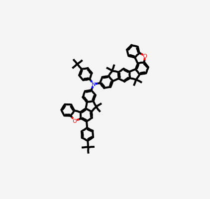 CC(C)(C)c1ccc(-c2cc3c(c4c2oc2ccccc24)-c2ccc(N(c4ccc(C(C)(C)C)cc4)c4ccc5c(c4)C(C)(C)c4cc6c(cc4-5)C(C)(C)c4ccc5oc7ccccc7c5c4-6)cc2C3(C)C)cc1